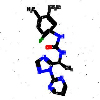 CCOC(=O)c1cc(NC(=O)N[C@@H](C)c2ncnn2-c2ncccn2)c(F)cc1C